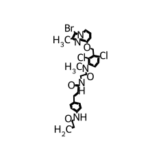 C=CC(=O)Nc1ccc(C=CC(=O)NCC(=O)N(C)c2ccc(Cl)c(COc3cccn4c(Br)c(C)nc34)c2Cl)cc1